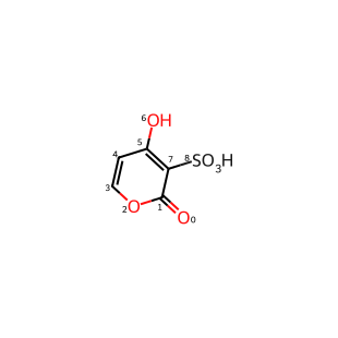 O=c1occc(O)c1S(=O)(=O)O